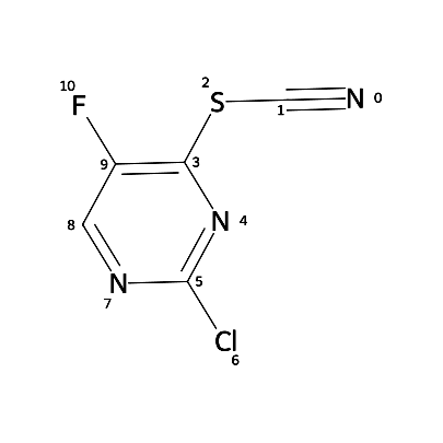 N#CSc1nc(Cl)ncc1F